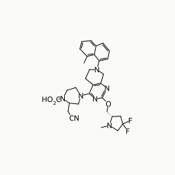 Cc1cccc2cccc(N3CCc4c(nc(OC[C@@H]5CC(F)(F)CN5C)nc4N4CCN(C(=O)O)C(CC#N)C4)C3)c12